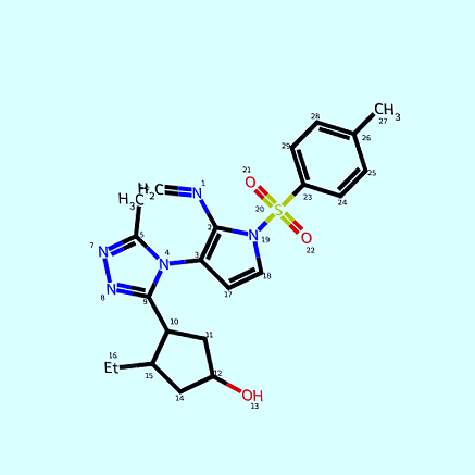 C=Nc1c(-n2c(C)nnc2C2CC(O)CC2CC)ccn1S(=O)(=O)c1ccc(C)cc1